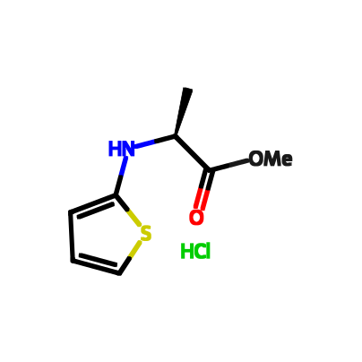 COC(=O)[C@H](C)Nc1cccs1.Cl